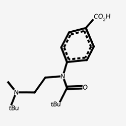 CN(CCN(C(=O)C(C)(C)C)c1ccc(C(=O)O)cc1)C(C)(C)C